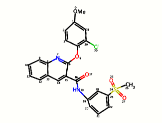 COc1ccc(Oc2nc3ccccc3cc2C(=O)Nc2cccc(S(C)(=O)=O)c2)c(Cl)c1